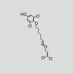 Oc1cc(Cl)c(OCCCCC/C=N/OCC=C(Cl)Cl)c(Cl)c1